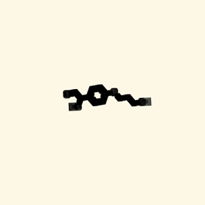 O=CC(O)c1ccc(OCCCO)cc1